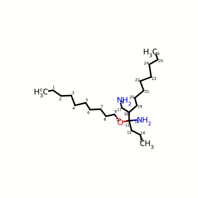 CCCCCCCCCCOC(N)(CCC)C(CN)CCCCCCCC